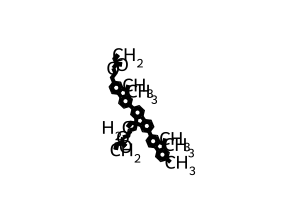 C=CC(=O)OCCCC1(C=C)c2cc(-c3ccc4c(c3)C(C)(C)c3cc(C)ccc3-4)ccc2-c2ccc(-c3ccc4c(c3)C(C)(C)c3cc(CCOC(=O)C=C)ccc3-4)cc21